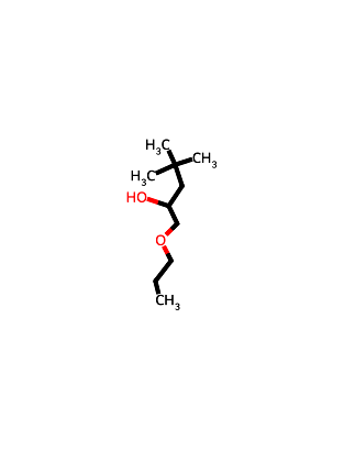 CCCOCC(O)CC(C)(C)C